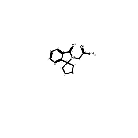 NC(=O)CN1C(=O)c2ccccc2C12CCCC2